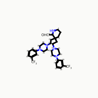 O=CC1NCCCC1(CCN1CCN(c2cccc(C(F)(F)F)c2)CC1)CCN1CCN(c2cccc(C(F)(F)F)c2)CC1